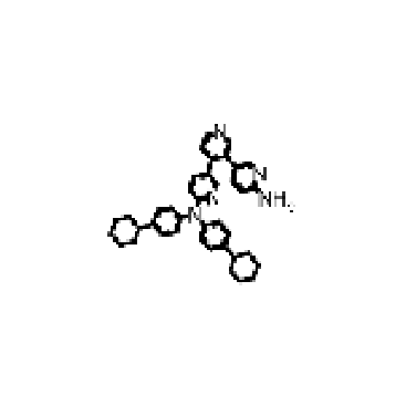 Nc1ccc(-c2cnccc2-c2ccc(N(c3ccc(C4CCCCC4)cc3)c3ccc(C4CCCCC4)cc3)nc2)cn1